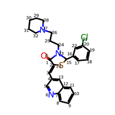 O=C1C(=Cc2cnc3ccccc3c2)SC(c2cccc(Cl)c2)N1CCCN1CCCCC1